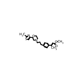 COC(=O)C=C(C)c1ccc(CCCN2CCOC(c3csc(C)n3)C2)cc1